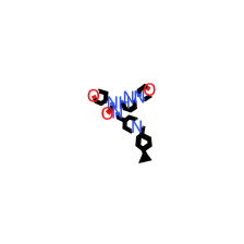 O=C(NC1CCOCC1)N(CC1CCN(Cc2ccc(C3CC3)cc2)CC1)c1ccc(N2CCOCC2)nc1